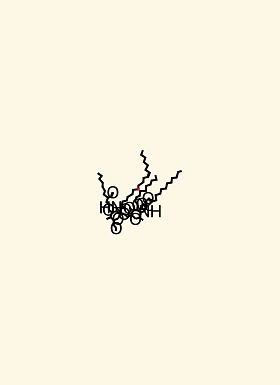 CCCCCC/C=C\CCCCCCCCCC(=O)NC1C(OCC2OC(C)C(NC(=O)CC(=O)CCCCCCCCCCC)C(OCCCCCCCCCC)C2O)OC(COC)C(C)C1OCCC(C=O)CCCCCCC